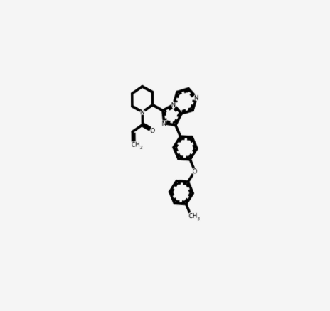 C=CC(=O)N1CCCCC1c1nc(-c2ccc(Oc3cccc(C)c3)cc2)c2cnccn12